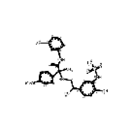 COc1ccc(C(C)(NCC(O)c2ccc(O)c(NS(C)(=O)=O)c2)C(=O)Nc2cccc(C(C)=O)c2)cc1